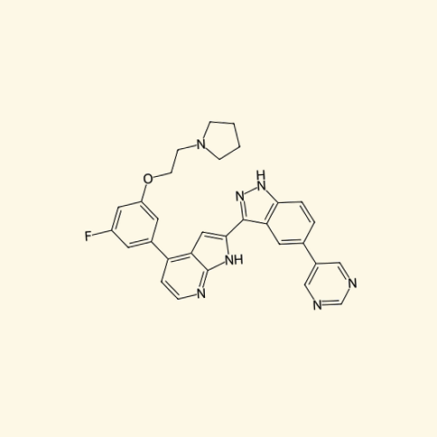 Fc1cc(OCCN2CCCC2)cc(-c2ccnc3[nH]c(-c4n[nH]c5ccc(-c6cncnc6)cc45)cc23)c1